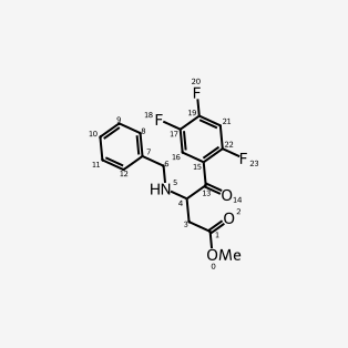 COC(=O)CC(NCc1ccccc1)C(=O)c1cc(F)c(F)cc1F